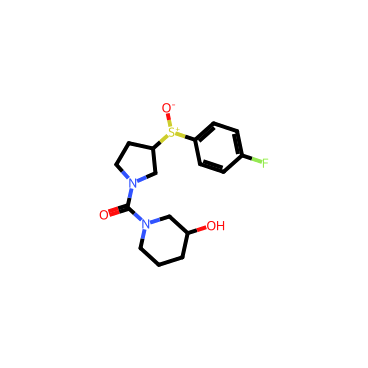 O=C(N1CCCC(O)C1)N1CCC([S+]([O-])c2ccc(F)cc2)C1